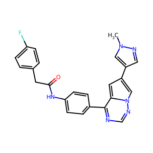 Cn1cc(-c2cc3c(-c4ccc(NC(=O)Cc5ccc(F)cc5)cc4)ncnn3c2)cn1